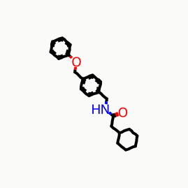 O=C(CC1CCCCC1)NCc1ccc(COc2ccccc2)cc1